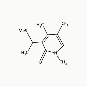 CSC(C)c1c(C)c(C(F)(F)F)cn(C)c1=O